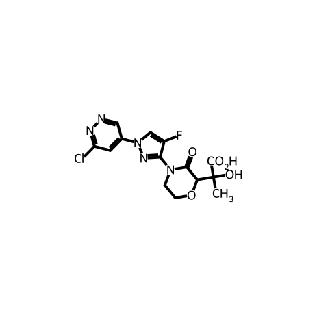 CC(O)(C(=O)O)C1OCCN(c2nn(-c3cnnc(Cl)c3)cc2F)C1=O